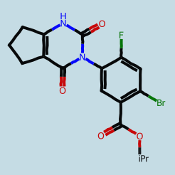 CC(C)OC(=O)c1cc(-n2c(=O)[nH]c3c(c2=O)CCC3)c(F)cc1Br